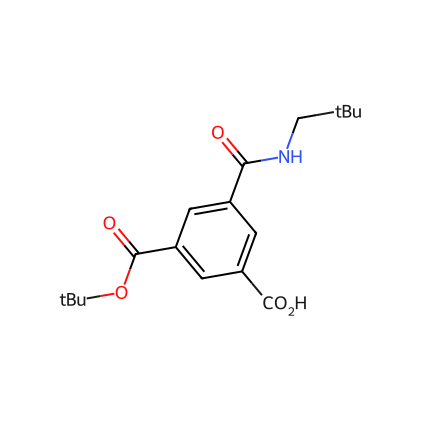 CC(C)(C)CNC(=O)c1cc(C(=O)O)cc(C(=O)OC(C)(C)C)c1